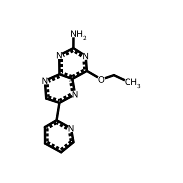 CCOc1nc(N)nc2ncc(-c3ccccn3)nc12